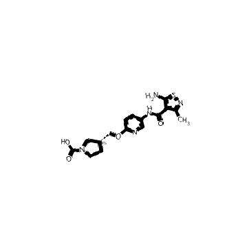 Cc1nsc(N)c1C(=O)Nc1ccc(OC[C@@H]2CCN(C(=O)O)C2)nc1